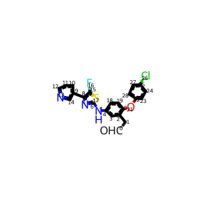 O=CCc1cc(Nc2nc(-c3cccnc3)c(F)s2)ccc1Oc1ccc(Cl)cc1